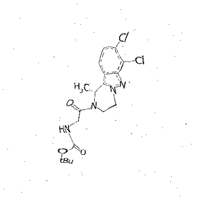 C[C@@H]1c2c3ccc(Cl)c(Cl)c3nn2CCN1C(=O)CNC(=O)OC(C)(C)C